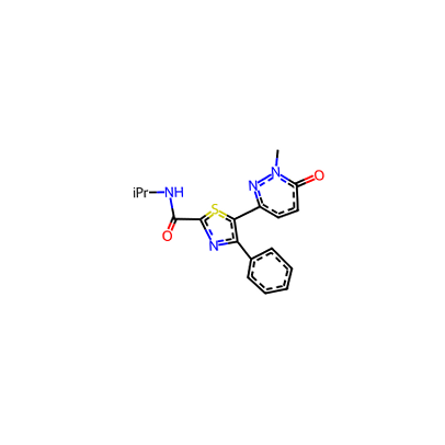 CC(C)NC(=O)c1nc(-c2ccccc2)c(-c2ccc(=O)n(C)n2)s1